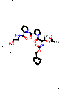 CC(=O)OC(C)[C@H](NC(=O)OCc1ccccc1)C(=O)N1CCC[C@H]1C(=O)N1CCC[C@H]1C(=O)NCCO